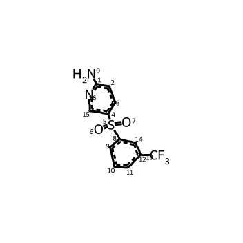 Nc1ccc(S(=O)(=O)c2cccc(C(F)(F)F)c2)cn1